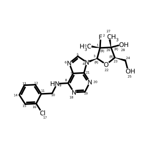 C[C@]1(F)[C@H](n2cnc3c(NCc4ccccc4Cl)ncnc32)O[C@H](CO)[C@@]1(C)O